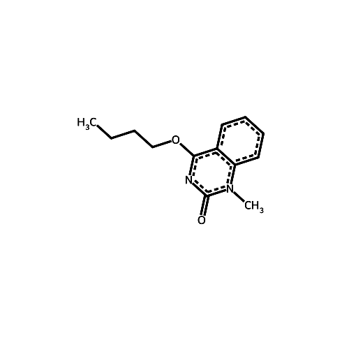 CCCCOc1nc(=O)n(C)c2ccccc12